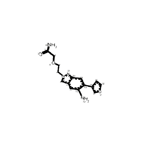 NC(=O)COCCn1cc2cc(N)c(-c3ccoc3)cc2n1